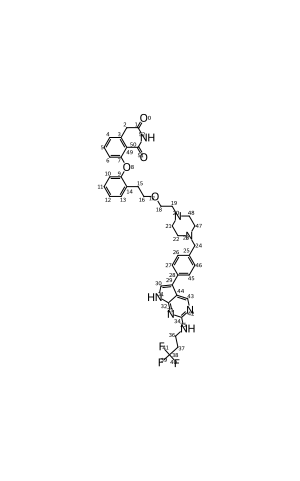 O=C1Cc2cccc(Oc3ccccc3CCOCCN3CCN(Cc4ccc(-c5c[nH]c6nc(NCCC(F)(F)F)ncc56)cc4)CC3)c2C(=O)N1